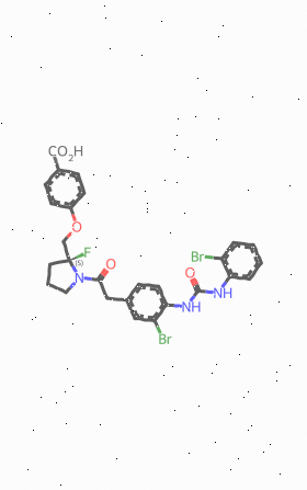 O=C(Nc1ccccc1Br)Nc1ccc(CC(=O)N2CCC[C@]2(F)COc2ccc(C(=O)O)cc2)cc1Br